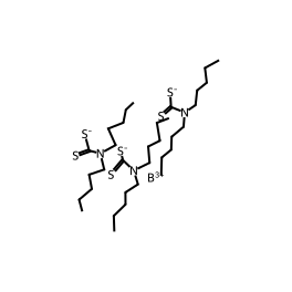 CCCCCN(CCCCC)C(=S)[S-].CCCCCN(CCCCC)C(=S)[S-].CCCCCN(CCCCC)C(=S)[S-].[B+3]